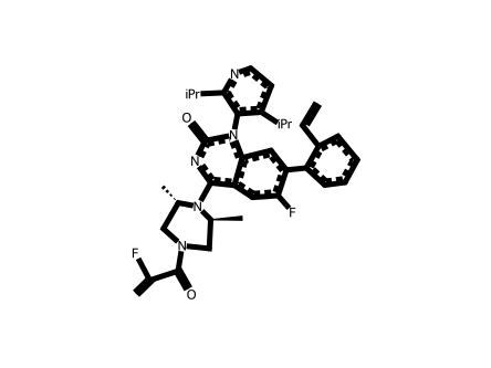 C=Cc1ccccc1-c1cc2c(cc1F)c(N1[C@@H](C)CN(C(=O)C(=C)F)C[C@@H]1C)nc(=O)n2-c1c(C(C)C)ccnc1C(C)C